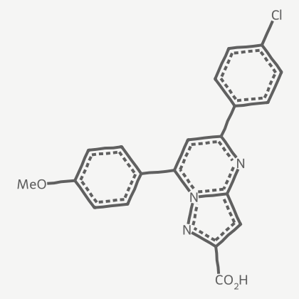 COc1ccc(-c2cc(-c3ccc(Cl)cc3)nc3cc(C(=O)O)nn23)cc1